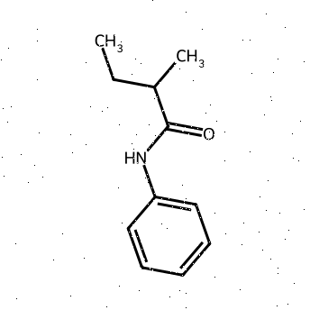 CCC(C)C(=O)Nc1ccccc1